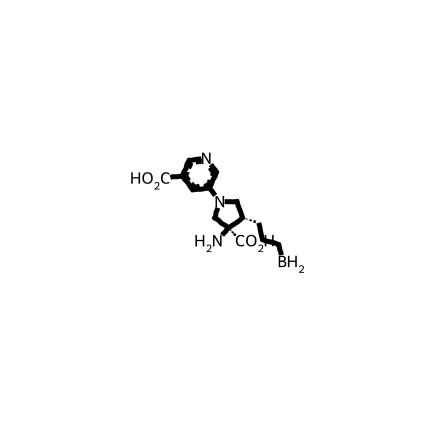 BCCC[C@H]1CN(c2cncc(C(=O)O)c2)C[C@@]1(N)C(=O)O